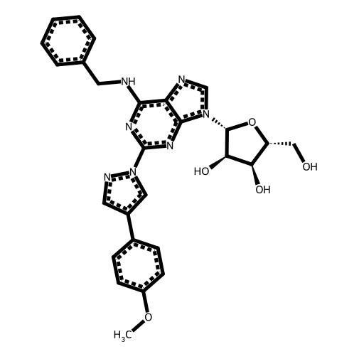 COc1ccc(-c2cnn(-c3nc(NCc4ccccc4)c4ncn([C@@H]5O[C@H](CO)[C@@H](O)[C@H]5O)c4n3)c2)cc1